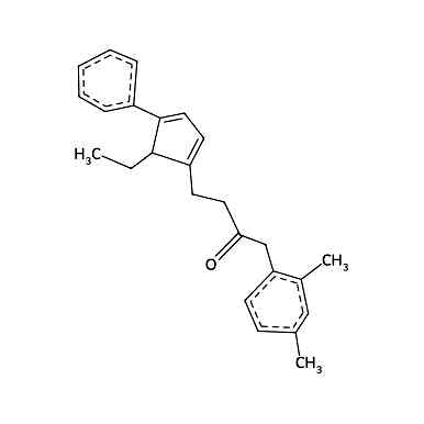 CCC1C(CCC(=O)Cc2ccc(C)cc2C)=CC=C1c1ccccc1